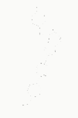 CN1CCC(Nc2c(Br)cnc3[nH]c(-c4ccc(N5CCC(CCO)CC5)cc4)nc23)CC1